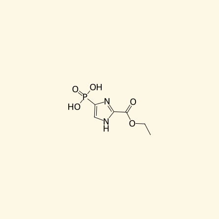 CCOC(=O)c1nc(P(=O)(O)O)c[nH]1